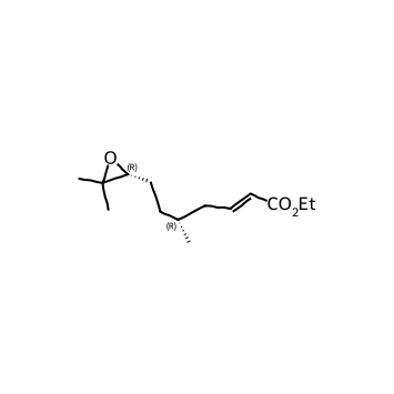 CCOC(=O)C=CC[C@H](C)CC[C@H]1OC1(C)C